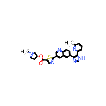 Cc1cccc(-c2[nH]cnc2-c2ccc3ncc(-c4ncc(C(=O)O[C@@H]5CCN(C)C5)s4)cc3c2)n1